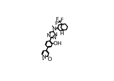 CN(c1cnc(-c2ccc(-c3ccn(C)c(=O)c3)cc2O)nn1)[C@@H]1C[C@H]2CCC[C@](C(F)(F)F)(C2)C1